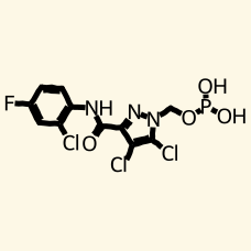 O=C(Nc1ccc(F)cc1Cl)c1nn(COP(O)O)c(Cl)c1Cl